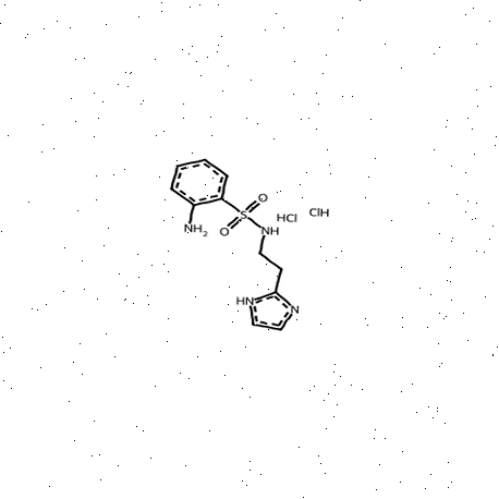 Cl.Cl.Nc1ccccc1S(=O)(=O)NCCc1ncc[nH]1